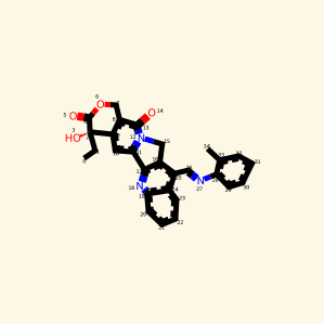 CC[C@@]1(O)C(=O)OCc2c1cc1n(c2=O)Cc2c-1nc1ccccc1c2C=Nc1ccccc1C